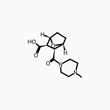 CN1CCN(C(=O)[C@H]2[C@@H](C(=O)O)[C@@H]3CC[C@H]2O3)CC1